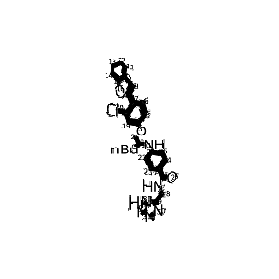 CCCCC(COc1ccc(-c2cc3ccccc3o2)c(Cl)c1)Nc1ccc(C(=O)NCc2nnn[nH]2)cc1